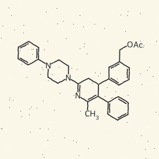 CC(=O)OCc1cccc(C2CC(N3CCN(c4ccccc4)CC3)=NC(C)=C2c2ccccc2)c1